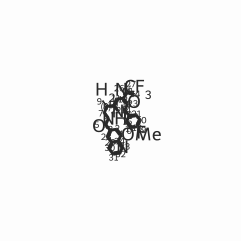 COc1cc(C(=O)NC[C@@H](C)c2cc3c(c(-c4ccc(F)cc4)n2)OC[C@@]3(N)C(F)(F)F)cc2cccnc12